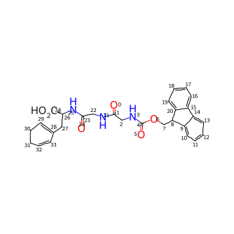 O=C(CNC(=O)OCC1c2ccccc2-c2ccccc21)NCC(=O)N[C@@H](CC1=CCCC=C1)C(=O)O